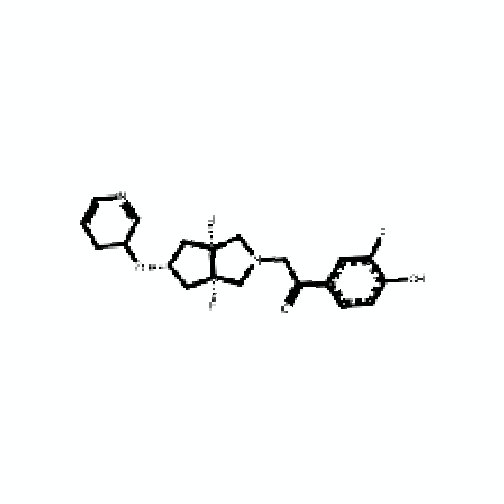 O=C(CN1C[C@H]2C[C@H](OC3C=NC=CC3)C[C@H]2C1)c1ccc(O)c(F)c1